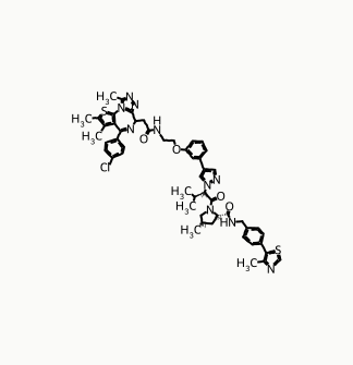 Cc1ncsc1-c1ccc(CNC(=O)[C@@H]2C[C@@H](C)CN2C(=O)[C@@H](C(C)C)n2cc(-c3cccc(OCCNC(=O)CC4N=C(c5ccc(Cl)cc5)c5c(sc(C)c5C)-n5c(C)nnc54)c3)cn2)cc1